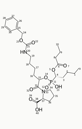 CCCC[C@@H](OC(=O)CCC)P(=O)(O)OC(CCCCNC(=O)OCc1ccccc1)C(=O)N1CCC[C@H]1C(=O)O